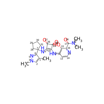 Cc1cn(C)nc1C1(Nc2c(Nc3ccnc(C(=O)N(C)C)c3O)c(=O)c2=O)CCCC1